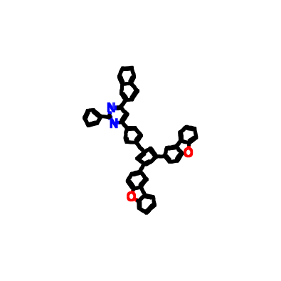 c1ccc(-c2nc(-c3ccc(-c4cc(-c5ccc6oc7ccccc7c6c5)cc(-c5ccc6oc7ccccc7c6c5)c4)cc3)cc(-c3ccc4ccccc4c3)n2)cc1